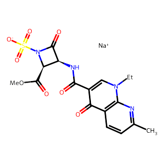 CCn1cc(C(=O)N[C@@H]2C(=O)N(S(=O)(=O)[O-])[C@@H]2C(=O)OC)c(=O)c2ccc(C)nc21.[Na+]